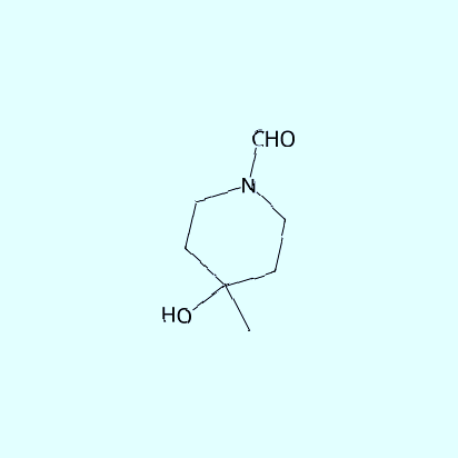 CC1(O)CCN(C=O)CC1